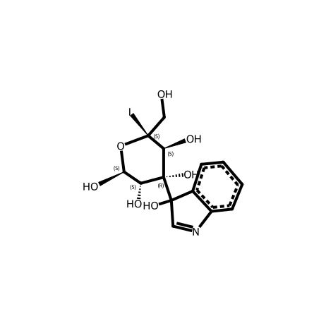 OC[C@@]1(I)O[C@H](O)[C@@H](O)[C@](O)(C2(O)C=Nc3ccccc32)[C@@H]1O